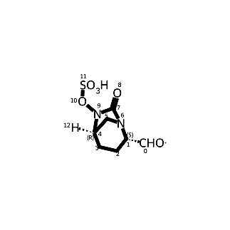 O=[C][C@@H]1CC[C@@H]2CN1C(=O)N2OS(=O)(=O)O